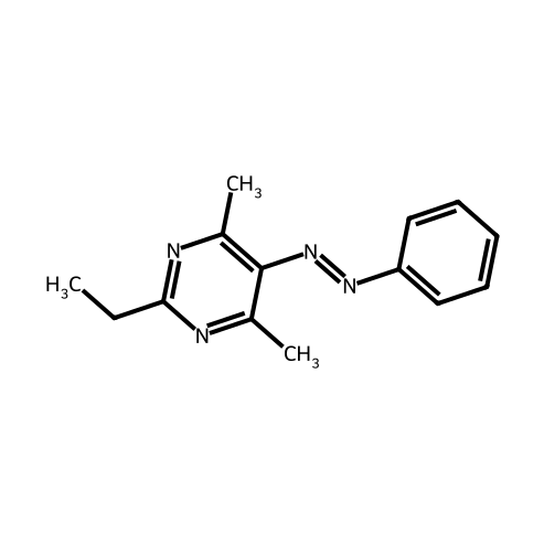 CCc1nc(C)c(/N=N/c2ccccc2)c(C)n1